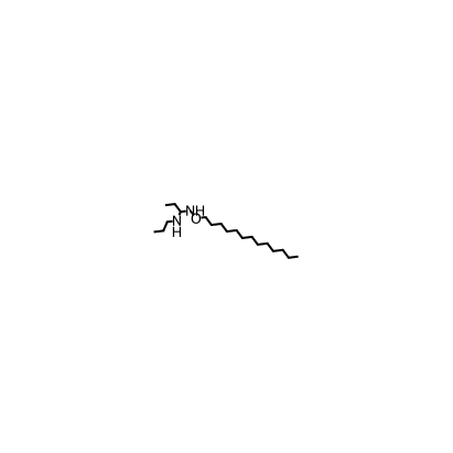 CCCCCCCCCCCCCONC(CC)NCCC